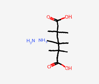 CC(C)(C(=O)O)C(C)(C)C(C)(C)C(=O)O.N.N